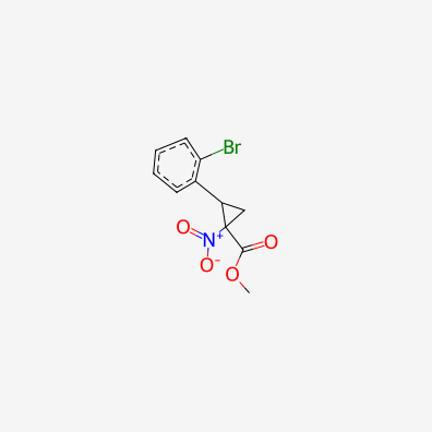 COC(=O)C1([N+](=O)[O-])CC1c1ccccc1Br